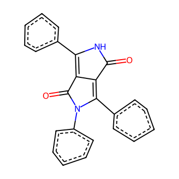 O=C1NC(c2ccccc2)=C2C(=O)N(c3ccccc3)C(c3ccccc3)=C12